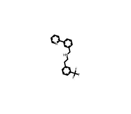 FC(F)(F)c1cccc(CCNCc2cccc(-c3ccccn3)c2)c1